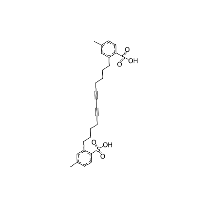 Cc1ccc(S(=O)(=O)O)c(CCCCC#CC#CCCCCc2cc(C)ccc2S(=O)(=O)O)c1